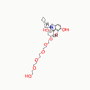 OCCOCCOCCOCCOCCOC1CC[C@@]2(O)[C@H]3Cc4ccc(O)c5c4[C@@]2(CCN3CC2CCC2)[C@H]1O5